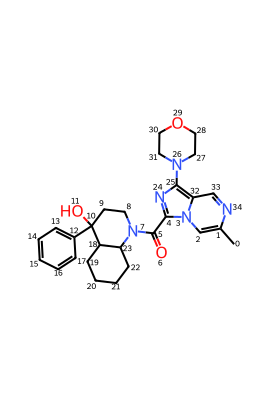 Cc1cn2c(C(=O)N3CCC(O)(c4ccccc4)C4CCCCC43)nc(N3CCOCC3)c2cn1